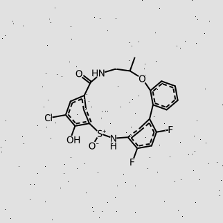 CC1CNC(=O)c2cc(Cl)c(O)c(c2)[S+]([O-])Nc2cc(c(F)cc2F)-c2ccccc2O1